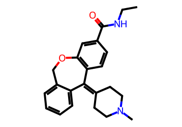 CCNC(=O)c1ccc2c(c1)OCc1ccccc1C2=C1CCN(C)CC1